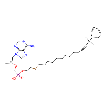 C[C@H](Cn1cnc2c(N)ncnc21)OCP(=O)(O)OCCSCCCCCCCCCCC#C[Si](C)(C)c1ccccc1